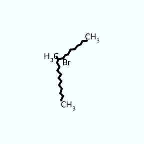 CCCCCCCCCCCCC(C)C(Br)CCCCCCCCC